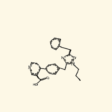 CCCn1nc(Cc2ccccc2)nc1Cc1ccc(-c2ccncc2C(=O)O)cc1